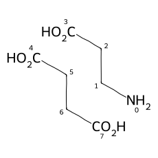 NCCC(=O)O.O=C(O)CCC(=O)O